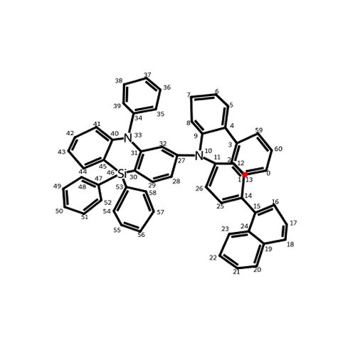 c1ccc(-c2ccccc2N(c2ccc(-c3cccc4ccccc34)cc2)c2ccc3c(c2)N(c2ccccc2)c2ccccc2[Si]3(c2ccccc2)c2ccccc2)cc1